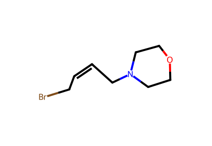 BrC/C=C\CN1CCOCC1